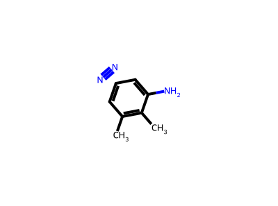 Cc1cccc(N)c1C.N#N